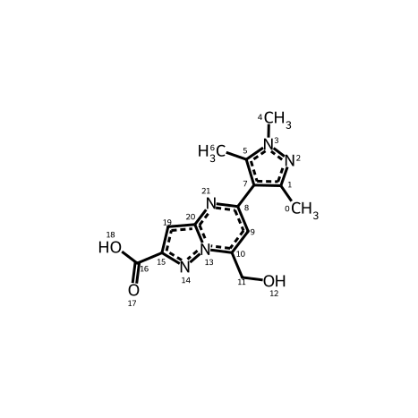 Cc1nn(C)c(C)c1-c1cc(CO)n2nc(C(=O)O)cc2n1